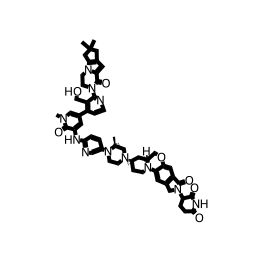 C[C@H]1CN([C@H]2CCN3c4cc5c(cc4OC[C@@H]3C2)C(=O)N(C2CCC(=O)NC2=O)C5)CCN1c1ccc(Nc2cc(-c3ccnc(N4CCn5c(cc6c5CC(C)(C)C6)C4=O)c3CO)cn(C)c2=O)nc1